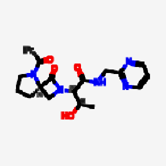 CC(C)C(=O)N1CCC[C@]12CN([C@H](C(=O)NCc1ncccn1)[C@@H](C)O)C2=O